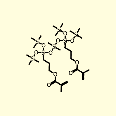 C=C(C)C(=O)OCCC[Si](O[Si](C)(C)C)(O[Si](C)(C)C)O[Si](C)(C)O[Si](CCCOC(=O)C(=C)C)(O[Si](C)(C)C)O[Si](C)(C)C